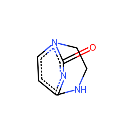 O=c1nc2ccn1CCN2